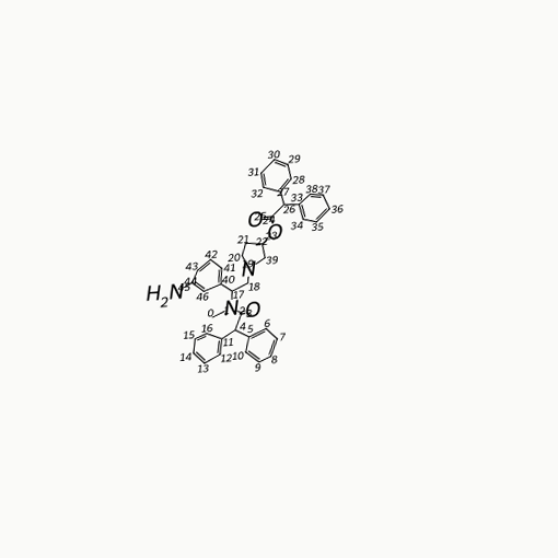 CN(C(=O)C(c1ccccc1)c1ccccc1)C(CN1CCC(OC(=O)C(c2ccccc2)c2ccccc2)C1)c1cccc(N)c1